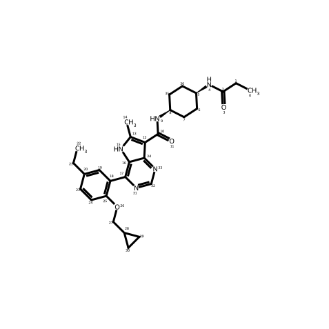 CCC(=O)N[C@H]1CC[C@@H](NC(=O)c2c(C)[nH]c3c(-c4cc(CC)ccc4OCC4CC4)ncnc23)CC1